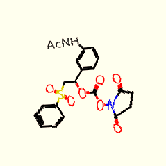 CC(=O)Nc1cccc(C(CS(=O)(=O)c2ccccc2)OC(=O)ON2C(=O)CCC2=O)c1